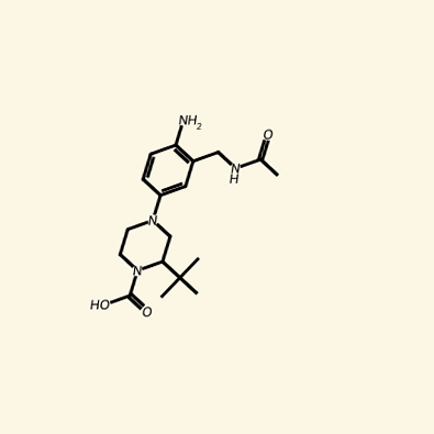 CC(=O)NCc1cc(N2CCN(C(=O)O)C(C(C)(C)C)C2)ccc1N